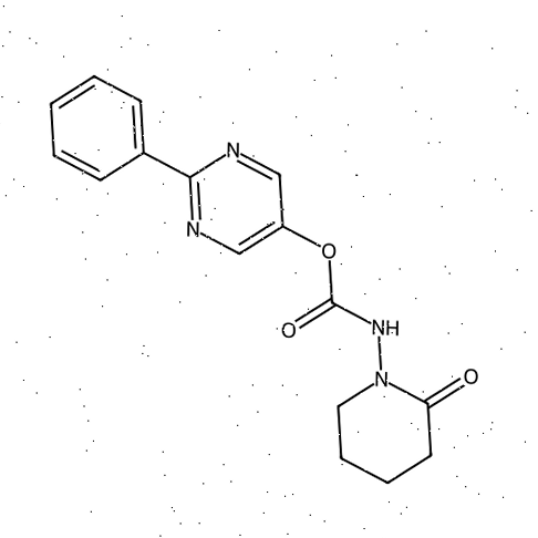 O=C(NN1CCCCC1=O)Oc1cnc(-c2ccccc2)nc1